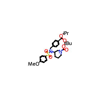 COc1ccc(S(=O)(=O)N(Cc2ccc(C(=O)OC(C)C)cc2)C2CCCN(C(=O)OC(C)(C)C)C2)cc1